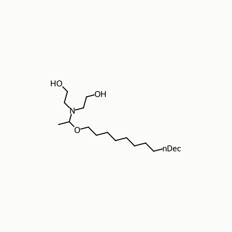 CCCCCCCCCCCCCCCCCCOC(C)N(CCO)CCO